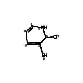 SC1=CC=CNC1Cl